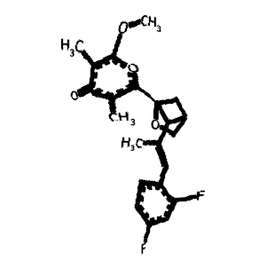 COc1oc([C@]23CC(CO2)C3C(C)=Cc2ccc(F)cc2F)c(C)c(=O)c1C